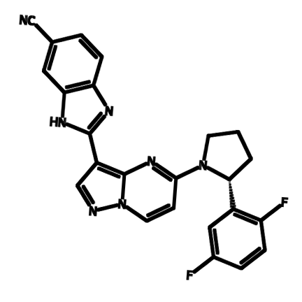 N#Cc1ccc2nc(-c3cnn4ccc(N5CCC[C@@H]5c5cc(F)ccc5F)nc34)[nH]c2c1